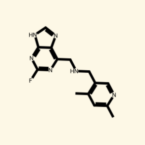 Cc1cc(C)c(CNCc2nc(F)nc3[nH]cnc23)cn1